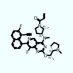 C#Cc1c(F)ccc2cccc(-c3ncc4c(N(C)[C@@H]5CCN(C(=O)C=C)[C@@H]5C)nc(O[C@@H](C)[C@@H]5CCCN5C)nc4c3F)c12